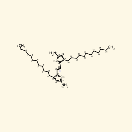 CCCCCCCCCCCCc1cc(N)sc1/C=C/c1sc(N)cc1CCCCCCCCCCCC